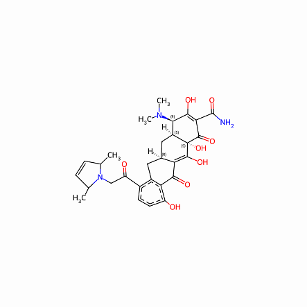 CC1C=CC(C)N1CC(=O)c1ccc(O)c2c1C[C@H]1C[C@H]3[C@@H](N(C)C)C(O)=C(C(N)=O)C(=O)[C@@]3(O)C(O)=C1C2=O